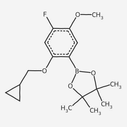 COc1cc(B2OC(C)(C)C(C)(C)O2)c(OCC2CC2)cc1F